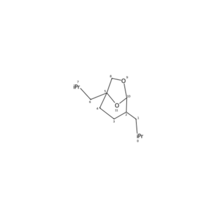 CC(C)CC1CCC2(CC(C)C)COC1O2